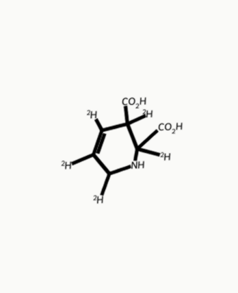 [2H]C1=C([2H])C([2H])(C(=O)O)C([2H])(C(=O)O)NC1[2H]